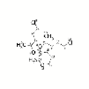 CC(CCCCl)O[Si]1(OC(C)CCCCl)CCCO[SiH2]1